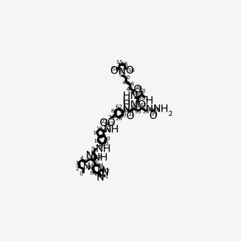 Cc1cccc(-c2nc(CNc3ccc4c(c3)CCC4NC(=O)OCc3ccc(NC(=O)C(CCCNC(N)=O)NC(=O)[C@@H](NC(=O)CCCCCN4C(=O)C=CC4=O)C(C)C)cc3)[nH]c2-c2ccc3ncnn3c2)n1